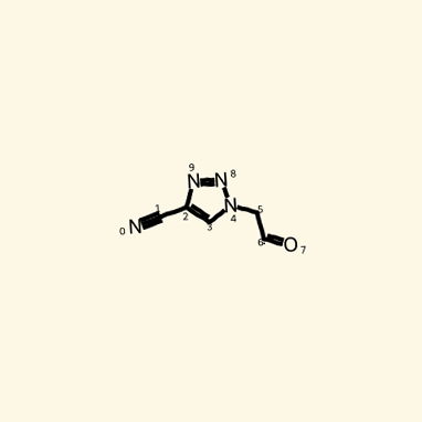 N#Cc1cn(C[C]=O)nn1